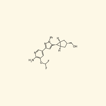 CC(C)n1nc(-c2cnc(N)c(OC(F)F)c2)cc1[C@H]1[C@@H]2C[C@@H](CO)C[C@@H]21